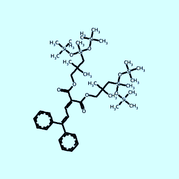 CC(C)(COC(=O)C(=CC=C(c1ccccc1)c1ccccc1)C(=O)OCC(C)(C)C[Si](C)(O[Si](C)(C)C)O[Si](C)(C)C)C[Si](C)(O[Si](C)(C)C)O[Si](C)(C)C